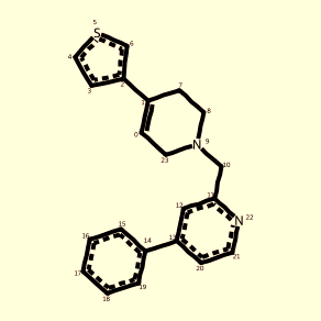 C1=C(c2ccsc2)CCN(Cc2cc(-c3ccccc3)ccn2)C1